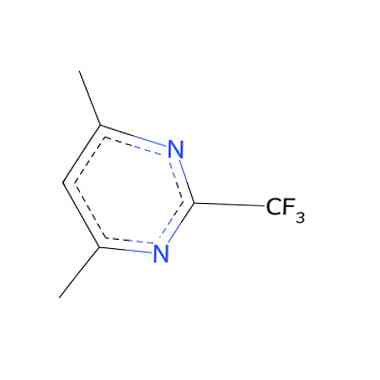 Cc1cc(C)nc(C(F)(F)F)n1